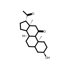 CC(=O)[C@H]1CCC2[C@@H]3CCC4C[C@H](O)CC[C@]4(C)C3C(=O)C[C@@]21C